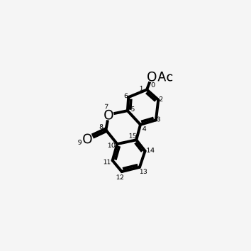 CC(=O)Oc1ccc2c(c1)oc(=O)c1ccccc12